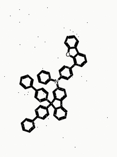 c1ccc(-c2ccc(C3(c4ccc(-c5ccccc5)cc4)c4ccccc4-c4ccc(N(c5ccccc5)c5ccc(-c6cccc7c6oc6ccccc67)cc5)cc43)cc2)cc1